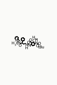 Cc1c(NC(=O)OC(C)(C)C)ccc2nc(NCCC(C(=O)N(C)Cc3ccccn3)c3ccccc3)oc(=O)c12